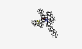 c1ccc(-c2ccc(-c3ccc(N(c4cccc(-c5cccc6c5sc5ccccc56)c4)c4c(-c5cccc(-c6ccccc6)c5)c5ccccc5c5ccccc45)cc3)cc2)cc1